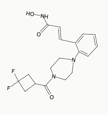 O=C(/C=C/c1ccccc1N1CCN(C(=O)C2CC(F)(F)C2)CC1)NO